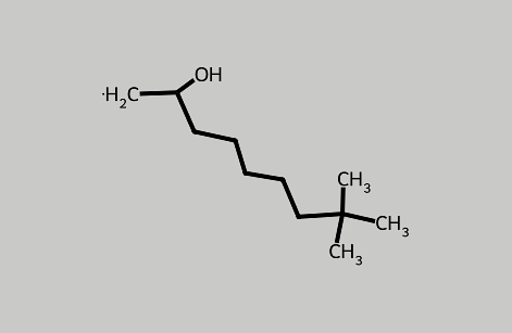 [CH2]C(O)CCCCCC(C)(C)C